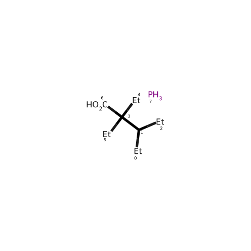 CCC(CC)C(CC)(CC)C(=O)O.P